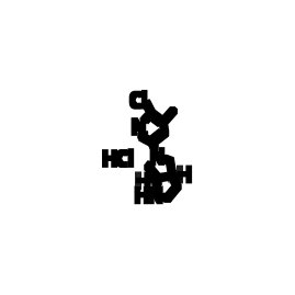 Cc1cc(N2C[C@@H]3CCN[C@@H]3C2)cnc1Cl.Cl